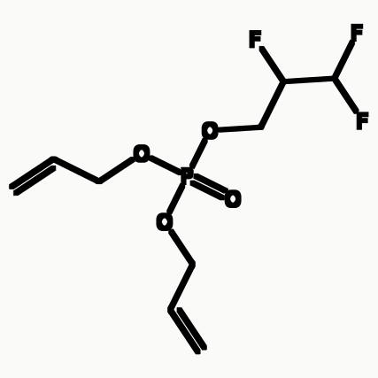 C=CCOP(=O)(OCC=C)OCC(F)C(F)F